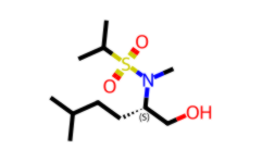 CC(C)CC[C@@H](CO)N(C)S(=O)(=O)C(C)C